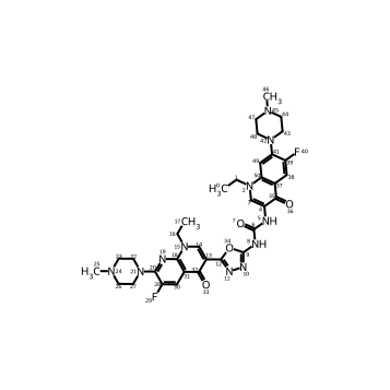 CCn1cc(NC(=O)Nc2nnc(-c3cn(CC)c4nc(N5CCN(C)CC5)c(F)cc4c3=O)o2)c(=O)c2cc(F)c(N3CCN(C)CC3)cc21